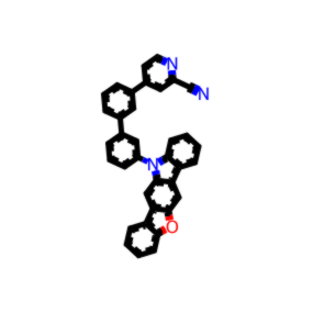 N#Cc1cc(-c2cccc(-c3cccc(-n4c5ccccc5c5cc6oc7ccccc7c6cc54)c3)c2)ccn1